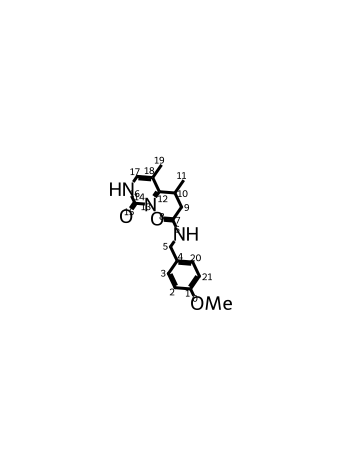 COc1ccc(CNC(=O)CC(C)c2nc(=O)[nH]cc2C)cc1